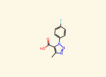 Cc1nnn(-c2ccc(F)cc2)c1C(=O)O